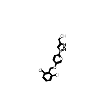 OCc1cn(-c2ccc(OCc3c(Cl)cccc3Cl)cn2)nn1